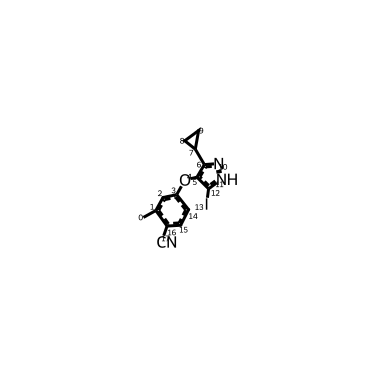 Cc1cc(Oc2c(C3CC3)n[nH]c2I)ccc1C#N